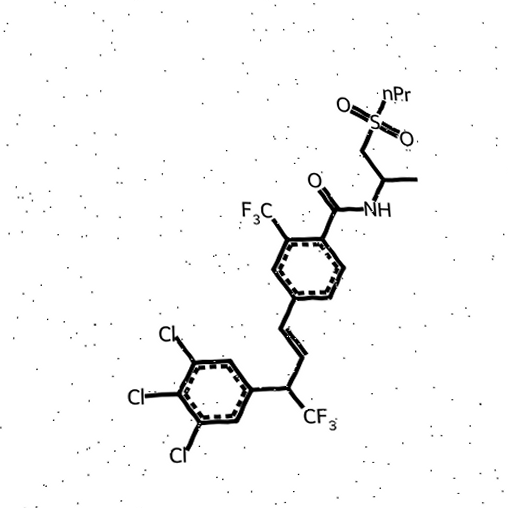 CCCS(=O)(=O)CC(C)NC(=O)c1ccc(/C=C/C(c2cc(Cl)c(Cl)c(Cl)c2)C(F)(F)F)cc1C(F)(F)F